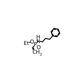 C=CP(=O)(NCCCc1ccccc1)OCC